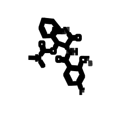 CNC(=O)C(NC(=O)c1ccc(F)cc1C(F)(F)F)C(OC(=O)N(C)C)c1ccccc1